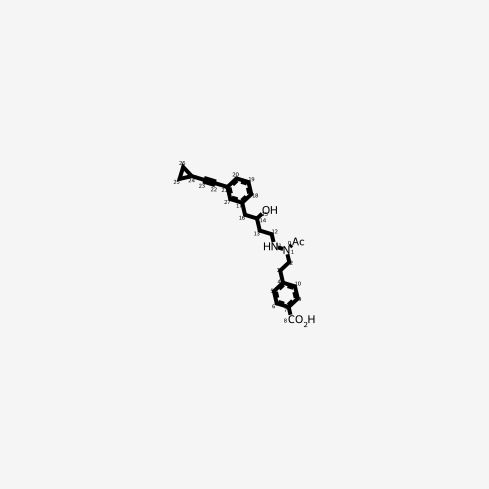 CC(=O)N(CCc1ccc(C(=O)O)cc1)NCCC(O)Cc1cccc(C#CC2CC2)c1